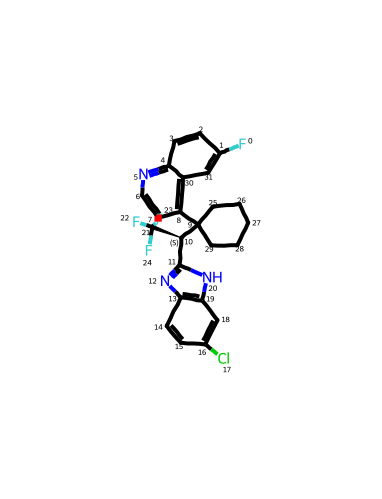 Fc1ccc2nccc(C3([C@@H](c4nc5ccc(Cl)cc5[nH]4)C(F)(F)F)CCCCC3)c2c1